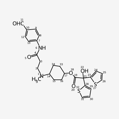 CN(CCC(=O)Nc1ccc(C=O)cc1)C1CCC(OC(=O)C(O)(c2cccs2)c2cccs2)CC1